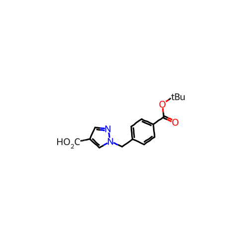 CC(C)(C)OC(=O)c1ccc(Cn2cc(C(=O)O)cn2)cc1